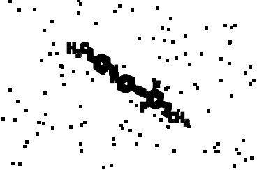 CCCc1ccc(N=Nc2ccc(C#Cc3c(F)cc(CCC)cc3F)cc2)cc1